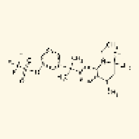 CCN1c2cc(C(C)(C)c3cccc(OS(=O)(=O)C(F)(F)F)c3)ccc2C(C)CC1(C)C